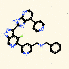 Fc1c(-c2cncc(CNCc3ccccc3)c2)ncc2[nH]nc(-c3nc4c(-c5ccncc5)ccnc4[nH]3)c12